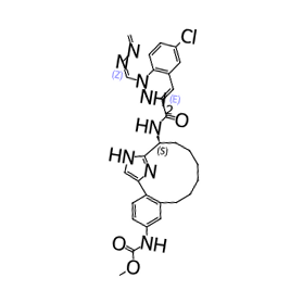 C=N/N=C\N(N)c1ccc(Cl)cc1/C=C/C(=O)N[C@H]1CCCCCCc2cc(NC(=O)OC)ccc2-c2c[nH]c1n2